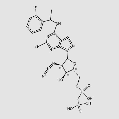 CC(Nc1cc(Cl)nc2c1cnn2C1O[C@H](COP(=O)(O)CP(=O)(O)O)[C@@H](O)[C@H]1N=[N+]=[N-])c1ccccc1F